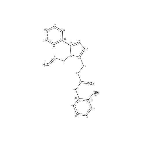 C=CCC1C(CCC(=O)Cc2ccccc2C(C)(C)C)=CC=C1c1ccccc1